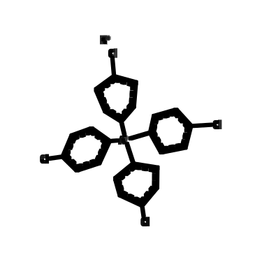 Clc1cc[c]([Al-]([c]2ccc(Cl)cc2)([c]2ccc(Cl)cc2)[c]2ccc(Cl)cc2)cc1.[K+]